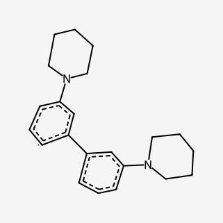 [c]1ccc(N2CCCCC2)cc1-c1cccc(N2CCCCC2)c1